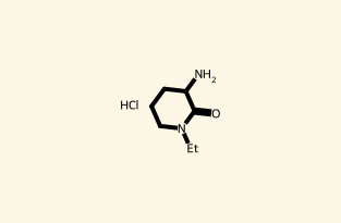 CCN1CCCC(N)C1=O.Cl